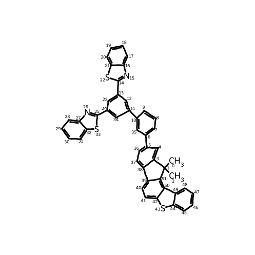 CC1(C)c2cc(-c3cccc(-c4cc(-c5nc6ccccc6s5)cc(-c5nc6ccccc6s5)c4)c3)ccc2-c2ccc3sc4ccccc4c3c21